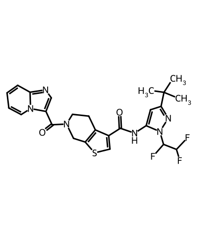 CC(C)(C)c1cc(NC(=O)c2csc3c2CCN(C(=O)c2cnc4ccccn24)C3)n(C(F)C(F)F)n1